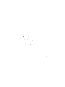 CC1=C(CCC(C)CCCC(C)C)C(=O)c2cc(C)c(C)cc2C1=O